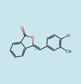 N#Cc1cc(/C=C2\OC(=O)c3ccccc32)ccc1Br